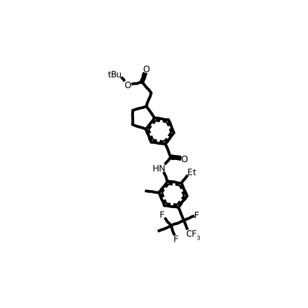 CCc1cc(C(F)(C(C)(F)F)C(F)(F)F)cc(C)c1NC(=O)c1ccc2c(c1)CCC2CC(=O)OC(C)(C)C